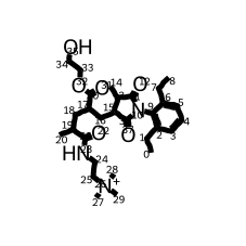 CCc1cccc(CC)c1N1C(=O)C(C)C(CC(CC(C)C(=O)NCC[N+](C)(C)C)C(=O)OCCO)C1=O